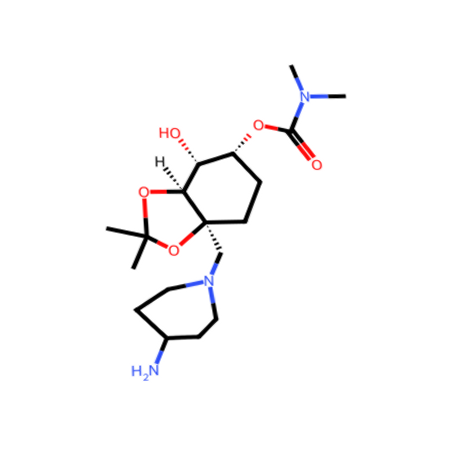 CN(C)C(=O)O[C@@H]1CC[C@@]2(CN3CCC(N)CC3)OC(C)(C)O[C@H]2[C@@H]1O